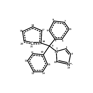 C1=CN(C(c2ccccc2)(c2ccccc2)c2ccccc2)C=[N+]1